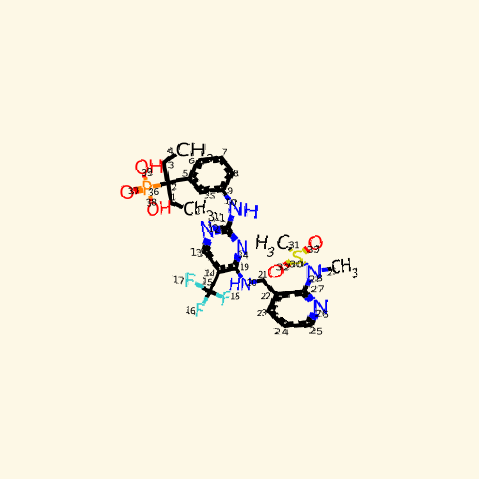 CCC(CC)(c1cccc(Nc2ncc(C(F)(F)F)c(NCc3cccnc3N(C)S(C)(=O)=O)n2)c1)P(=O)(O)O